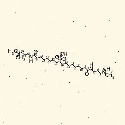 CN(C)CCCNC(=O)CCCCCCCCC(CCCCCCCC(=O)NCCCN(C)C)S(=O)(=O)O